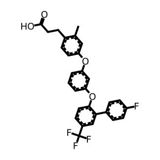 Cc1cc(Oc2cccc(Oc3ccc(C(F)(F)F)cc3-c3ccc(F)cc3)c2)ccc1CCC(=O)O